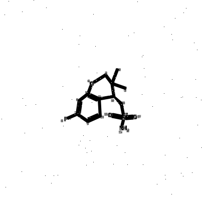 CC1(C)COc2cc(F)ccc2[C@@H]1CS(N)(=O)=O